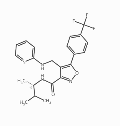 CC(C)[C@H](C)NC(=O)c1noc(-c2ccc(C(F)(F)F)cc2)c1CNc1ccccn1